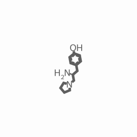 N[C@@H](Cc1ccc(O)cc1)CN1CCCC1